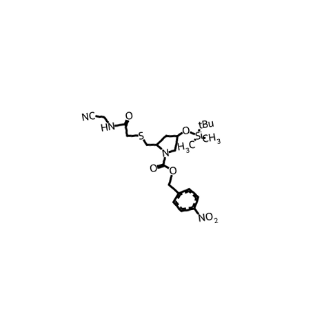 CC(C)(C)[Si](C)(C)OC1CC(CSCC(=O)NCC#N)N(C(=O)OCc2ccc([N+](=O)[O-])cc2)C1